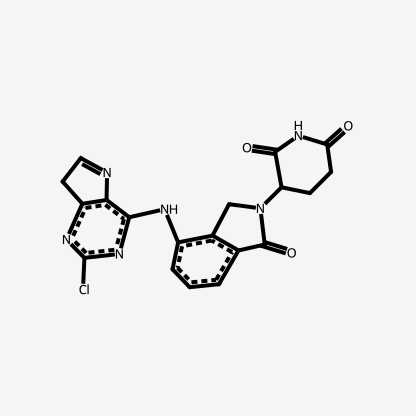 O=C1CCC(N2Cc3c(Nc4nc(Cl)nc5c4N=CC5)cccc3C2=O)C(=O)N1